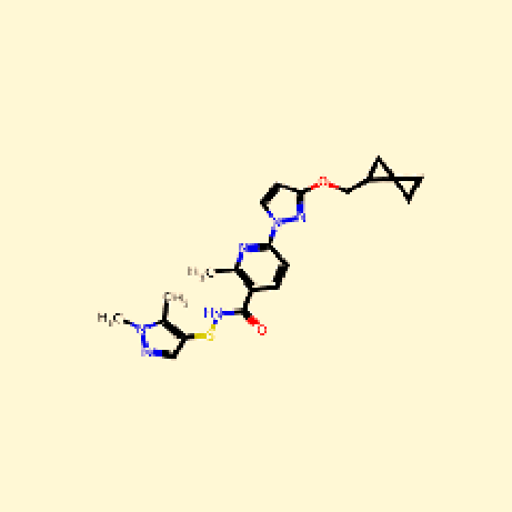 Cc1nc(-n2ccc(OCC3CC34CC4)n2)ccc1C(=O)NSc1cnn(C)c1C